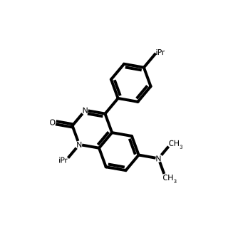 CC(C)c1ccc(-c2nc(=O)n(C(C)C)c3ccc(N(C)C)cc23)cc1